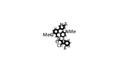 CN[C@H]1CC[C@H](N(Cc2cc(-c3ccc(F)nc3)ccc2OC)C(=O)c2sc3cccc(F)c3c2Cl)CC1